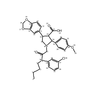 CCCCN(C(=O)CN1CC(c2ccc3c(c2)OCO3)C(C(=O)O)C1c1ccc(OC)cc1)c1cccc(Cl)c1